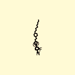 CCCCCCCCCC1CCC(CCC2COC(c3ccc(C#N)c(F)c3)OC2)CC1